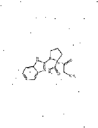 CCC(=O)[C@@]1(C(N)=O)CCCN1c1nc2ccccc2[nH]1